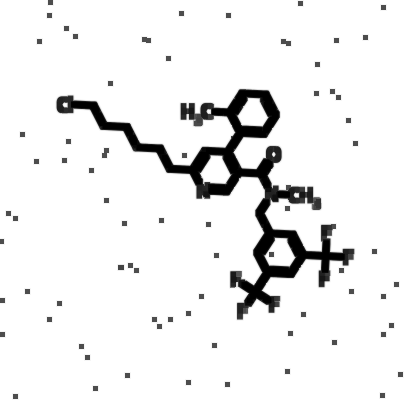 Cc1ccccc1-c1cc(CCCCCCCl)ncc1C(=O)N(C)Cc1cc(C(F)(F)F)cc(C(F)(F)F)c1